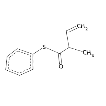 C=CC(C)C(=O)Sc1ccccc1